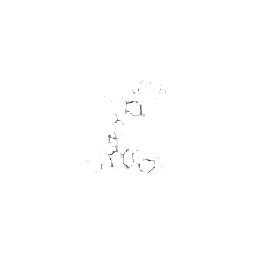 Cc1c(CC(=O)O)cccc1OCCON=C(CCC(F)(F)F)c1ccc(-c2ccccc2)cc1